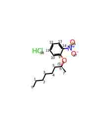 CCCCCC[C@H](C)Oc1ccccc1[N+](=O)[O-].Cl